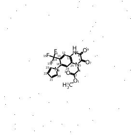 COC(=O)Cn1c(=O)c(=O)[nH]c2cc(C(F)(F)F)c(-n3cccc3)cc21